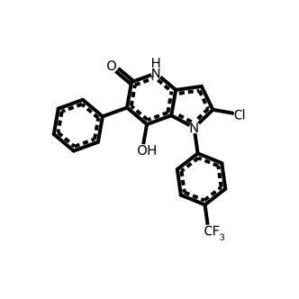 O=c1[nH]c2cc(Cl)n(-c3ccc(C(F)(F)F)cc3)c2c(O)c1-c1ccccc1